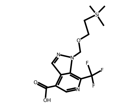 C[Si](C)(C)CCOCn1ncc2c(C(=O)O)cnc(C(F)(F)F)c21